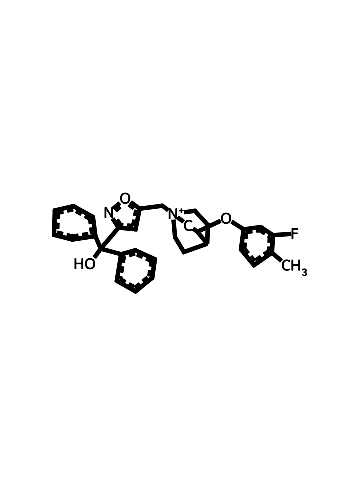 Cc1ccc(OC2C[N+]3(Cc4cc(C(O)(c5ccccc5)c5ccccc5)no4)CCC2CC3)cc1F